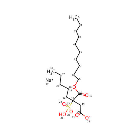 CCCCCCCCCCOC(=O)C(CCCCC)(CC(=O)[O-])S(=O)(=O)O.[Na+]